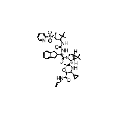 C=CCNC(=O)C(=O)C(NC(=O)[C@@H]1[C@@H]2[C@H](CN1C(=O)[C@@H](NC(=O)N[C@H](CN(C)S(=O)(=O)c1ccccn1)C(C)(C)C)C1Cc3ccccc3C1)C2(C)C)C1CC1